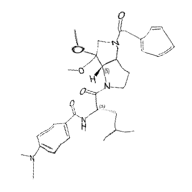 COC1(OC)CN(C(=O)c2ccccc2)C2CCN(C(=O)[C@H](CC(C)C)NC(=O)c3ccc(N(C)C)cc3)[C@@H]21